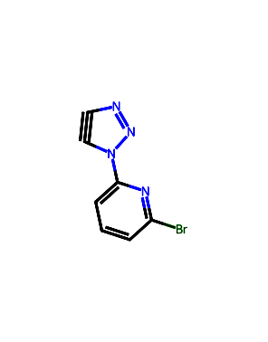 Brc1cccc(-n2c#cnn2)n1